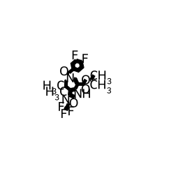 CC(C)OC(=O)C1=CN(C(=O)c2ccc(F)c(F)c2)CC(C)(C)c2c1[nH]c1oc(C(F)(F)F)nc21